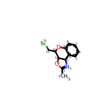 CC1=NC2c3ccccc3OC(CBr)C2O1